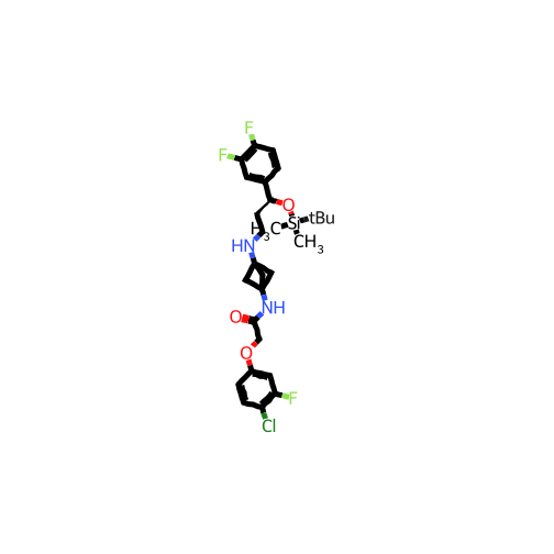 CC(C)(C)[Si](C)(C)O[C@@H](CCNC12CC(NC(=O)COc3ccc(Cl)c(F)c3)(C1)C2)c1ccc(F)c(F)c1